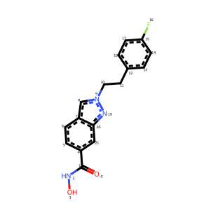 O=C(NO)c1ccc2cn(CCc3ccc(F)cc3)nc2c1